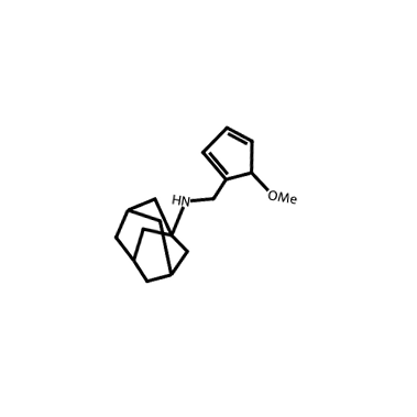 COC1C=CC=C1CNC12CC3CC(CC(C3)C1)C2